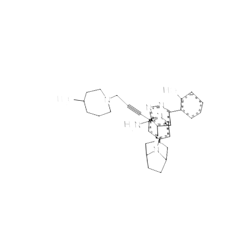 CC1CCCN(CC#Cc2cc(N3C4CCC3CN(c3cc(-c5ccccc5O)nnc3N)C4)ccn2)CC1